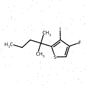 CCCC(C)(C)c1scc(F)c1I